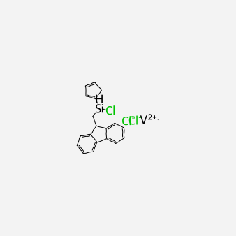 Cl[SiH](CC1c2ccccc2-c2ccccc21)C1=CC=CC1.[Cl-].[Cl-].[V+2]